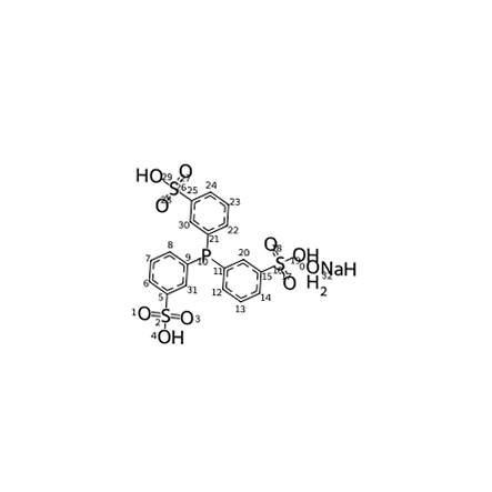 O.O=S(=O)(O)c1cccc(P(c2cccc(S(=O)(=O)O)c2)c2cccc(S(=O)(=O)O)c2)c1.[NaH]